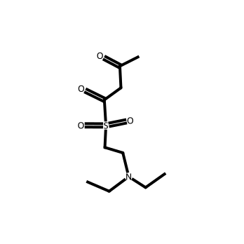 CCN(CC)CCS(=O)(=O)C(=O)CC(C)=O